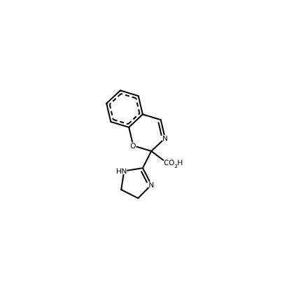 O=C(O)C1(C2=NCCN2)N=Cc2ccccc2O1